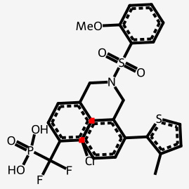 COc1ccccc1S(=O)(=O)N(Cc1ccc(C(F)(F)P(=O)(O)O)c(Cl)c1)Cc1ccccc1-c1sccc1C